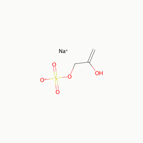 C=C(O)COS(=O)(=O)[O-].[Na+]